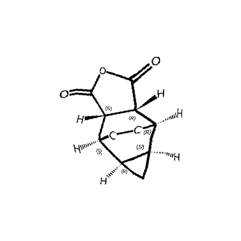 O=C1OC(=O)[C@H]2[C@H]3CC[C@H]([C@H]4C[C@H]43)[C@@H]12